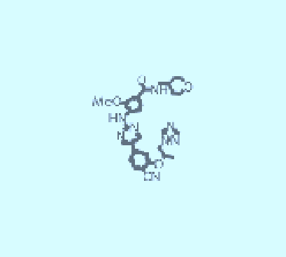 COc1cc(C(=O)NCC2CCOCC2)ccc1Nc1ncc(-c2ccc(C#N)c(OC(C)Cn3cncn3)c2)cn1